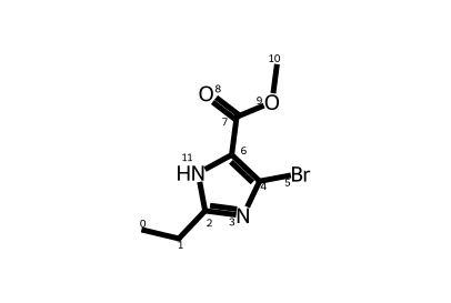 CCc1nc(Br)c(C(=O)OC)[nH]1